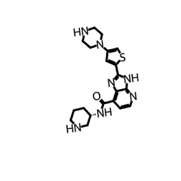 O=C(N[C@H]1CCCNC1)c1ccnc2[nH]c(-c3cc(N4CCNCC4)cs3)nc12